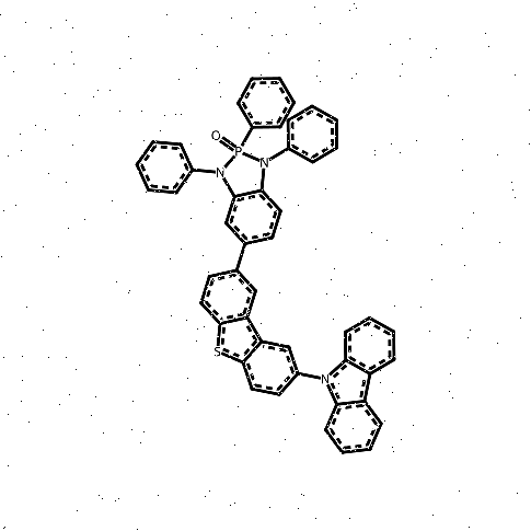 O=P1(c2ccccc2)N(c2ccccc2)c2ccc(-c3ccc4sc5ccc(-n6c7ccccc7c7ccccc76)cc5c4c3)cc2N1c1ccccc1